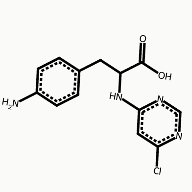 Nc1ccc(CC(Nc2cc(Cl)ncn2)C(=O)O)cc1